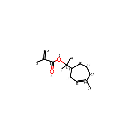 C=C(C)C(=O)OC(C)(C)C1CC=C(C)CCC1